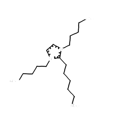 CCCCCCCCCCCCCCCc1n(CCCCCCCCCCCCCC)cc[n+]1CCCCCCCCCCCCCC